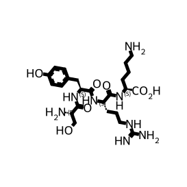 N=C(N)NCCC[C@H](NC(=O)[C@H](Cc1ccc(O)cc1)NC(=O)[C@@H](N)CO)C(=O)N[C@@H](CCCCN)C(=O)O